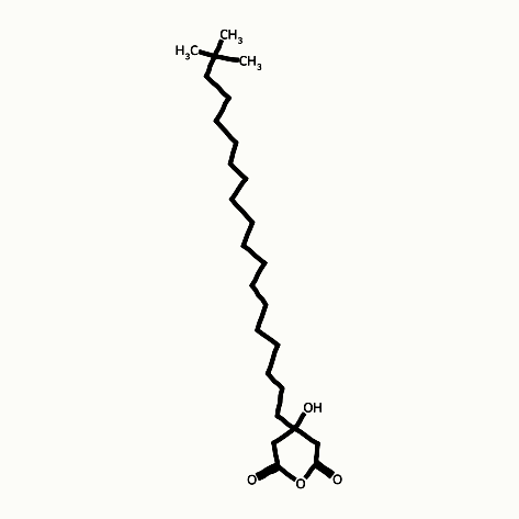 CC(C)(C)CCCCCCCCCCCCCCCCCC1(O)CC(=O)OC(=O)C1